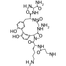 CNCCC(=O)N[C@@H](CCCCN)C(=O)N(C)[C@@H]1C(=O)N[C@@H](N)C(=O)N[C@H](C(=O)N[C@@H](N)C(N)=O)Cc2ccc(O)c(c2)-c2cc1ccc2O